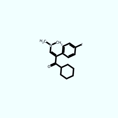 CN(C)/C=C(/C(=O)C1CCCCC1)c1ccc(I)cc1